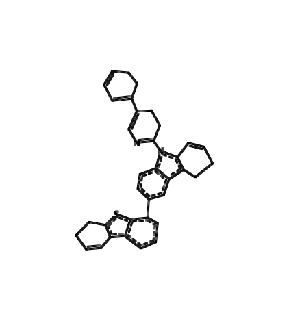 C1=CCCC(C2=CN=C(n3c4c(c5cc(-c6cccc7c8c(sc67)CCC=C8)ccc53)CCC=C4)CC2)=C1